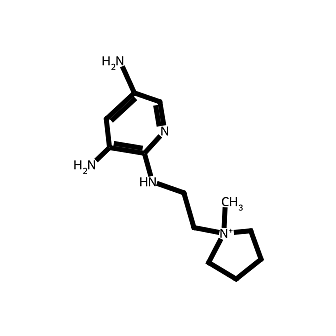 C[N+]1(CCNc2ncc(N)cc2N)CCCC1